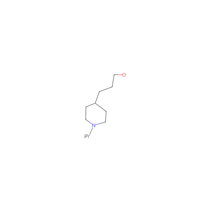 CC(C)N1CCC(CCC[O])CC1